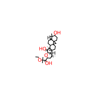 CCOC(C)(C)[C@H](O)C1C[C@@H](C)[C@H]2C(O1)[C@H](O)[C@@]1(C)C3CC[C@H]4C(C)(C)C(O)CCC45CC35CCC21C